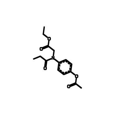 CCOC(=O)CN(C(=O)CC)c1ccc(OC(C)=O)cc1